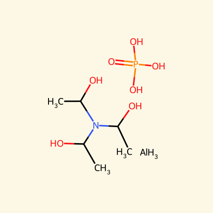 CC(O)N(C(C)O)C(C)O.O=P(O)(O)O.[AlH3]